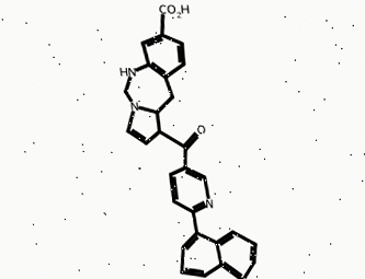 O=C(O)c1ccc2c(c1)NCN1C=CC(C(=O)c3ccc(-c4cccc5ccccc45)nc3)C1C2